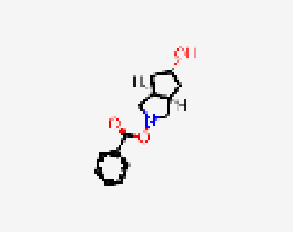 O=C(ON1C[C@H]2C[C@H](O)C[C@H]2C1)c1ccccc1